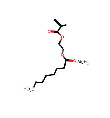 C=C(C)C(=O)OCCOC(=O)CCCCCCC(=O)O.[MgH2]